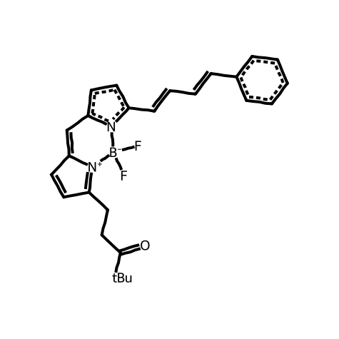 CC(C)(C)C(=O)CCC1=[N+]2C(=Cc3ccc(/C=C/C=C/c4ccccc4)n3[B-]2(F)F)C=C1